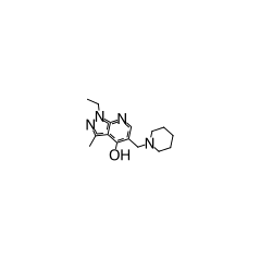 CCn1nc(C)c2c(O)c(CN3CCCCC3)cnc21